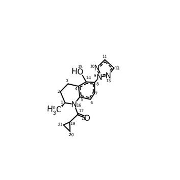 C[C@H]1CCc2c(ccc(-n3nccn3)c2O)N1C(=O)C1CC1